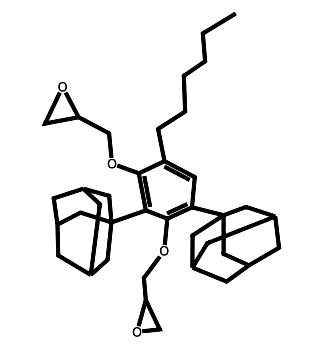 CCCCCCc1cc(C23CC4CC(CC(C4)C2)C3)c(OCC2CO2)c(C23CC4CC(CC(C4)C2)C3)c1OCC1CO1